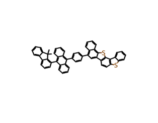 CC1(C)c2ccccc2-c2cccc(-c3c4ccccc4c(-c4ccc(-c5cc6c7ccc8sc9ccccc9c8c7sc6c6ccccc56)cc4)c4ccccc34)c21